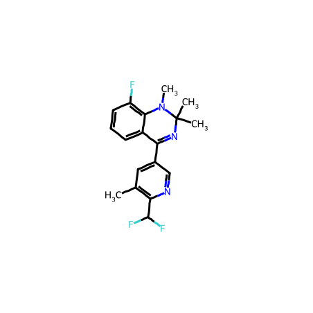 Cc1cc(C2=NC(C)(C)N(C)c3c(F)cccc32)cnc1C(F)F